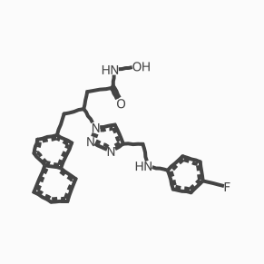 O=C(CC(Cc1ccc2ccccc2c1)n1cc(CNc2ccc(F)cc2)nn1)NO